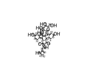 O=C1c2c(c3c4ccc(O)cc4n(C4OC(CO)C(O)C(O)C4O)c3c3[nH]c4cc(O)ccc4c23)C(=O)N1NCc1ccc[nH]1